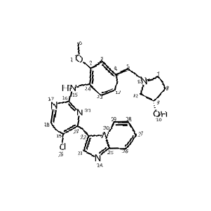 COc1cc(CN2CC[C@H](O)C2)ccc1Nc1ncc(Cl)c(-c2cnc3ccccn23)n1